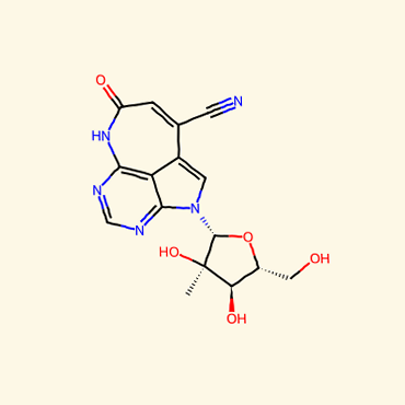 C[C@@]1(O)[C@H](O)[C@@H](CO)O[C@H]1n1cc2c3c(ncnc31)NC(=O)C=C2C#N